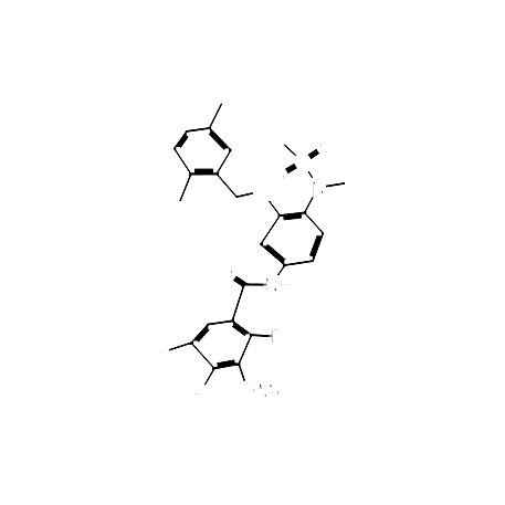 COc1c(F)c(F)cc(C(=O)Nc2ccc(N(C)S(C)(=O)=O)c(OCc3cc(C)ccc3C)c2)c1F